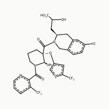 CCC[C@H]1N(C(=O)c2ncccc2C(F)(F)F)CCC[C@@]1(Oc1csc(C(F)(F)F)c1)C(=O)N1Cc2ccc(Cl)cc2C[C@@H]1CC(O)C(=O)O